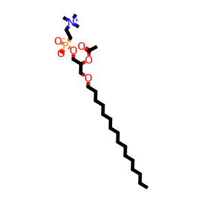 CCCCCCCCCCCCCCCCOCC(COP(=O)([O-])CC[N+](C)(C)C)OC(C)=O